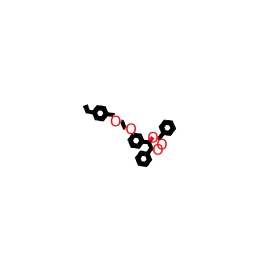 C=Cc1ccc(COCCOc2cccc(C(OC(=O)c3ccccc3)C(=O)c3ccccc3)c2)cc1